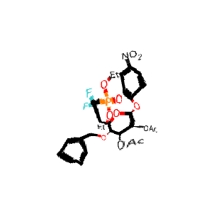 CCOP(=O)(OCC)C(F)(F)C[C@H]1O[C@H](Oc2ccc([N+](=O)[O-])cc2)[C@@H](OC(C)=O)[C@@H](OC(C)=O)[C@@H]1OCc1ccccc1